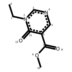 CCn1cncc(C(=O)OC)c1=O